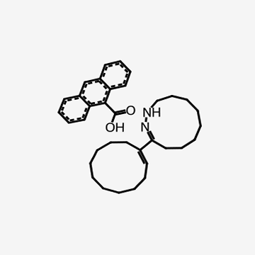 C1=C(C2=NNCCCCCCCC2)CCCCCCCCC1.O=C(O)c1c2ccccc2cc2ccccc12